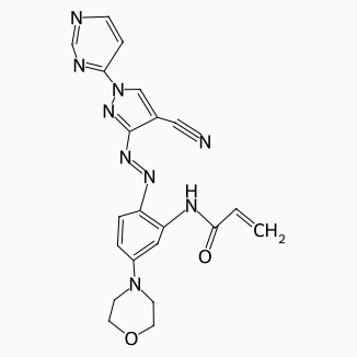 C=CC(=O)Nc1cc(N2CCOCC2)ccc1N=Nc1nn(-c2ccncn2)cc1C#N